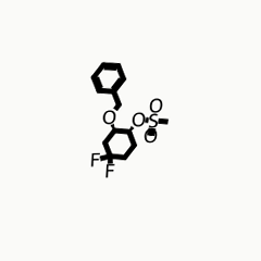 CS(=O)(=O)O[C@H]1CCC(F)(F)C[C@H]1OCc1ccccc1